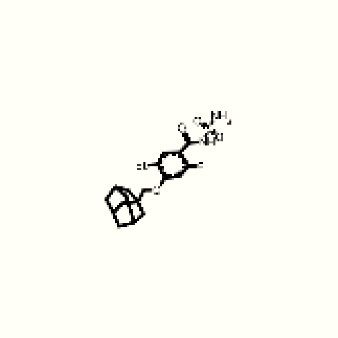 CCc1cc(C(=O)NS(N)(=O)=O)c(F)cc1OCC12CC3CC(CC(C3)C1)C2